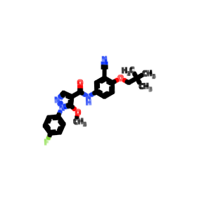 COc1c(C(=O)Nc2ccc(OCC(C)(C)C)c(C#N)c2)cnn1-c1ccc(F)cc1